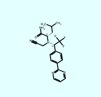 CC(C)C[C@@H](C(N)=O)N(CC#N)[C@@H](c1ccc(-c2ncccn2)cc1)C(F)(F)F